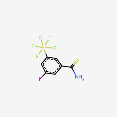 NC(=S)c1cc(I)cc(S(F)(F)(F)(F)F)c1